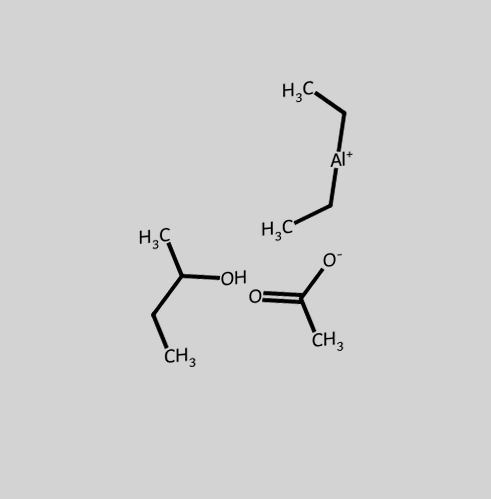 CC(=O)[O-].CCC(C)O.C[CH2][Al+][CH2]C